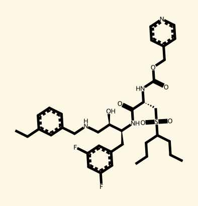 CCCC(CCC)S(=O)(=O)C[C@@H](NC(=O)OCc1ccncc1)C(=O)N[C@@H](Cc1cc(F)cc(F)c1)[C@H](O)CNCc1cccc(CC)c1